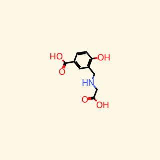 O=C(O)CNCc1cc(C(=O)O)ccc1O